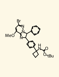 COC1=CC(Br)=NN2C1=NC(c1ccc(C3(NC(=O)OC(C)(C)C)CCC3)cc1)C2c1ccccc1